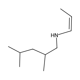 C/C=C\NCC(C)CC(C)C